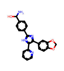 NC(O)c1ccc(-c2nc(-c3ccc4c(c3)OCO4)c(-c3ccccn3)[nH]2)cc1